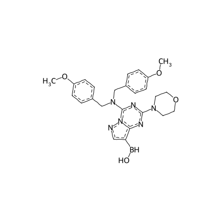 COc1ccc(CN(Cc2ccc(OC)cc2)c2nc(N3CCOCC3)nc3c(BO)cnn23)cc1